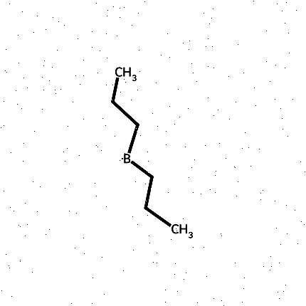 CCC[B]CCC